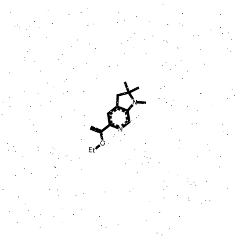 C=C(OCC)c1cc2c(cn1)N(C)C(C)(C)C2